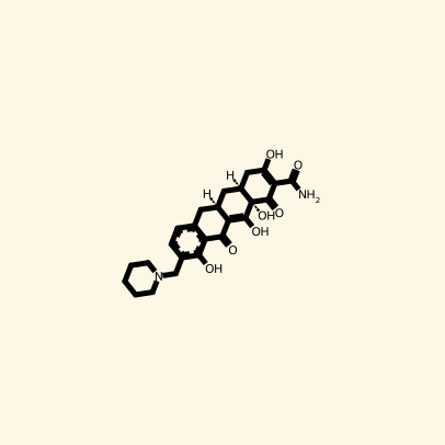 NC(=O)C1=C(O)C[C@@H]2C[C@@H]3Cc4ccc(CN5CCCCC5)c(O)c4C(=O)C3=C(O)[C@]2(O)C1=O